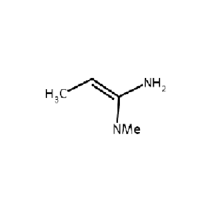 C/C=C(/N)NC